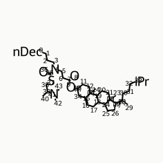 CCCCCCCCCCCCCN(CCC(=O)O[C@H]1CC[C@@]2(C)C(=CCC3C2CC[C@@]2(C)C3CC[C@@H]2[C@H](C)CCCC(C)C)C1)C(=O)SCC(C)N(C)C